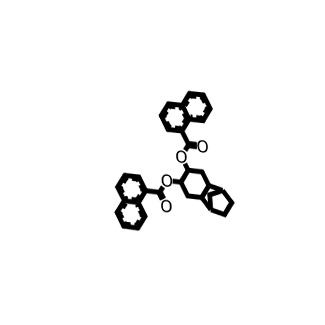 O=C(OC1CC2C3CCC(C3)C2CC1OC(=O)c1cccc2ccccc12)c1cccc2ccccc12